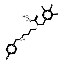 C=C(NO)[C@@H](CCCCNCc1ccc(F)cc1)Cc1cc(C)c(F)c(C)c1